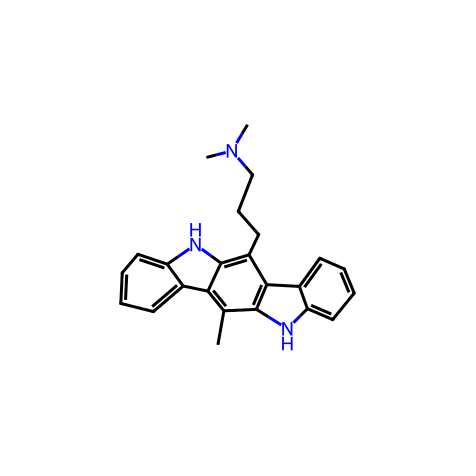 Cc1c2[nH]c3ccccc3c2c(CCCN(C)C)c2[nH]c3ccccc3c12